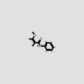 CO/C(C)=C(/C)C(=S)Nc1ccccc1